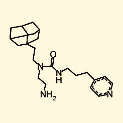 NCCN(CCC12CC3CC(CC(C3)C1)C2)C(=O)NCCCc1ccncc1